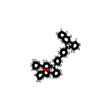 c1ccc2cc3c4ccccc4n(-c4ccc(-c5ccc(N(c6ccc(-c7ccccc7)cc6)c6ccccc6-c6ccc7ccccc7c6)cc5)cc4)c3cc2c#1